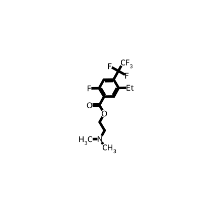 CCc1cc(C(=O)OCCN(C)C)c(F)cc1C(F)(F)C(F)(F)F